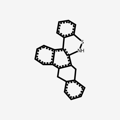 c1ccc2c(c1)Cc1c3c(c4ccccc4c1C2)-c1ccccc1SN3